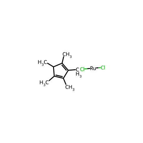 CC1=C(C)C(C)C(C)=C1C.[Cl][Ru][Cl]